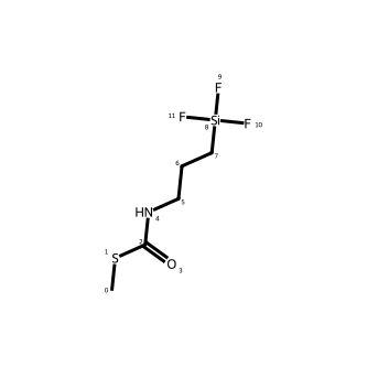 CSC(=O)NCCC[Si](F)(F)F